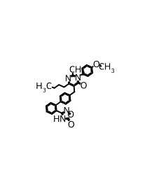 CCCCc1nc(C)n(-c2ccc(OC)cc2)c(=O)c1Cc1ccc(-c2ccccc2-c2noc(=O)[nH]2)cc1